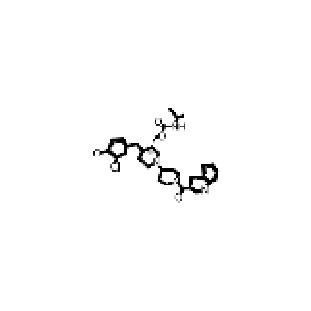 CC(C)NC(=O)OC[C@@H]1CN(C2CCN(C(=O)c3cnc4ccccc4c3)CC2)CCC1Cc1ccc(Cl)c(Cl)c1